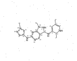 CC1=CNC(C)C(NC2NN(C)c3nc(Nc4cnn(C)c4)ncc32)=C1